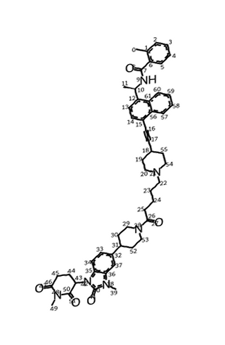 Cc1ccccc1C(=O)N[C@H](C)c1ccc(C#CC2CCN(CCCCC(=O)N3CCC(c4ccc5c(c4)n(C)c(=O)n5C4CCC(=O)N(C)C4=O)CC3)CC2)c2ccccc12